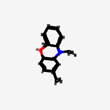 Cc1ccc2c(c1)N(C)c1ccccc1O2